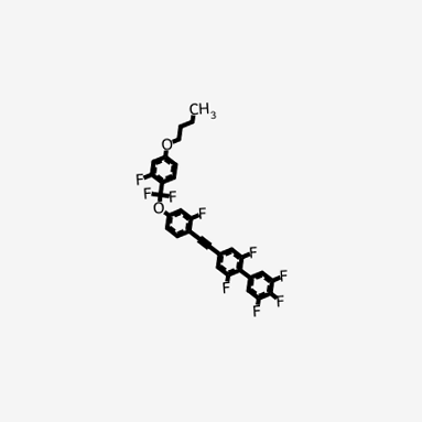 CCCCOc1ccc(C(F)(F)Oc2ccc(C#Cc3cc(F)c(-c4cc(F)c(F)c(F)c4)c(F)c3)c(F)c2)c(F)c1